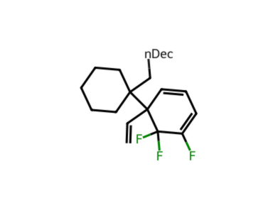 C=CC1(C2(CCCCCCCCCCC)CCCCC2)C=CC=C(F)C1(F)F